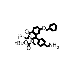 CC(C)Cn1c(N(C)C(=O)OC(C)(C)C)c(-c2ccc(CN)cc2)c2cc(OCc3ccccc3)ccc2c1=O